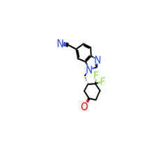 N#Cc1ccc2ncn(C[C@H]3CC(=O)CCC3(F)F)c2c1